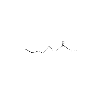 CNC(=N)NCCCCO